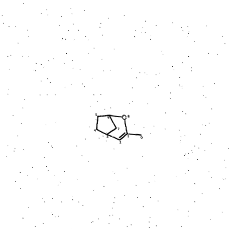 CC1=CC2CCC(C2)O1